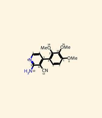 COc1ccc(-c2ccnc(N)c2C#N)c(OC)c1OC